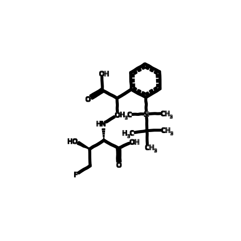 CC(C)(C)[Si](C)(C)c1ccccc1C(ON[C@H](C(=O)O)[C@H](O)CF)C(=O)O